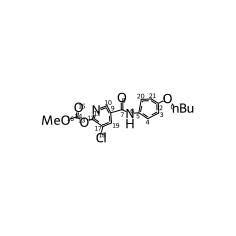 CCCCOc1ccc(NC(=O)c2cnc(OC(=O)OC)c(Cl)c2)cc1